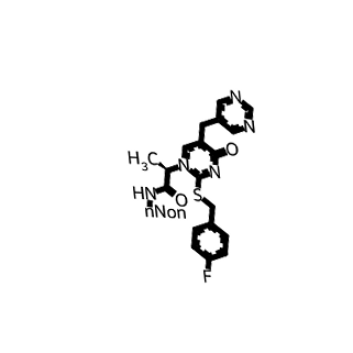 CCCCCCCCCNC(=O)[C@@H](C)n1cc(Cc2cncnc2)c(=O)nc1SCc1ccc(F)cc1